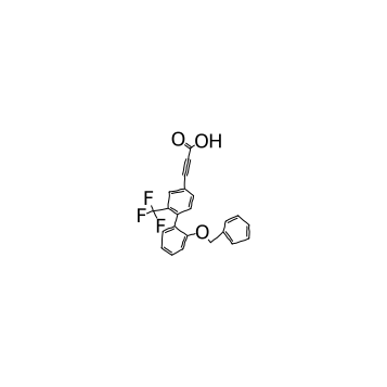 O=C(O)C#Cc1ccc(-c2ccccc2OCc2ccccc2)c(C(F)(F)F)c1